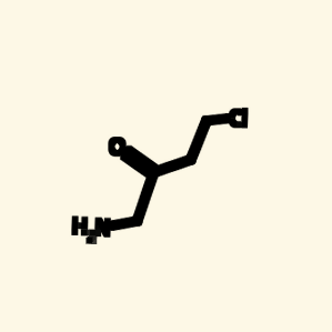 NCC(=O)CCCl